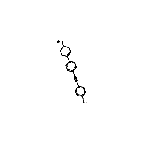 CCCCC1CC=C(c2ccc(C#Cc3ccc(CC)cc3)cc2)CC1